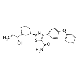 C=CC(O)N1CCC[C@@H](c2nc(-c3ccc(Oc4ccccc4)cc3)c(C(N)=O)s2)C1